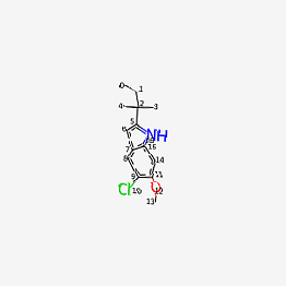 CCC(C)(C)c1cc2cc(Cl)c(OC)cc2[nH]1